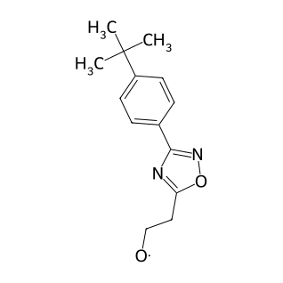 CC(C)(C)c1ccc(-c2noc(CC[O])n2)cc1